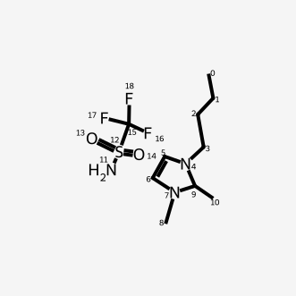 CCCCN1C=CN(C)C1C.NS(=O)(=O)C(F)(F)F